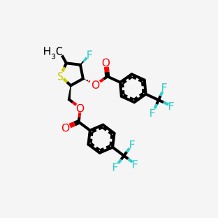 CC1S[C@H](COC(=O)c2ccc(C(F)(F)F)cc2)[C@@H](OC(=O)c2ccc(C(F)(F)F)cc2)[C@@H]1F